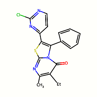 CCc1c(C)nc2sc(-c3ccnc(Cl)n3)c(-c3ccccc3)n2c1=O